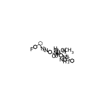 CN(C)CC[C@H](CSc1ccccc1)Nc1ccc(S(=O)(=O)NC(=O)c2ccc(N3CCN(CC4=C(c5ccc(F)cc5)CCCC4)CC3)cc2)cc1[N+](=O)[O-]